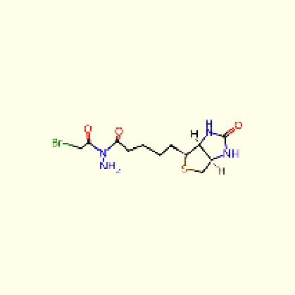 NN(C(=O)CBr)C(=O)CCCC[C@@H]1SC[C@@H]2NC(=O)N[C@@H]21